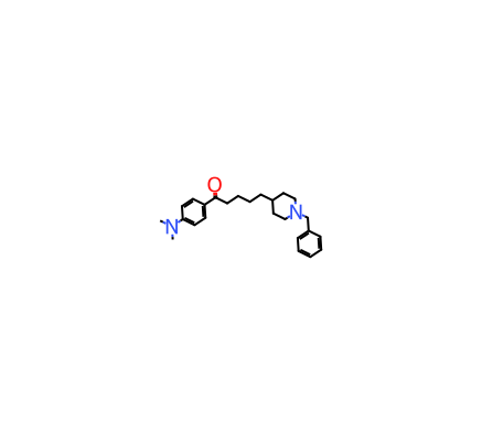 CN(C)c1ccc(C(=O)CCCCC2CCN(Cc3ccccc3)CC2)cc1